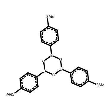 CSc1ccc(B2OB(c3ccc(SC)cc3)OB(c3ccc(SC)cc3)O2)cc1